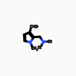 CCN(CC)Cc1c([C]=O)ccn1C